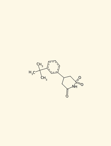 CC(C)(C)c1cccc(C2CC(=O)NS(=O)(=O)C2)c1